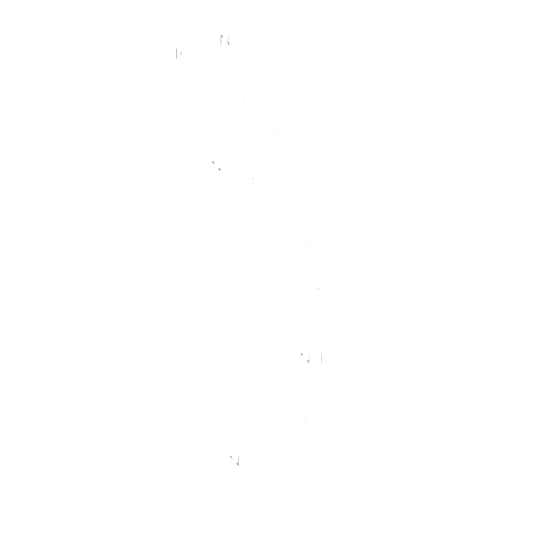 O/N=C\c1cnc(C#CCCNc2ccnc3ccccc23)s1